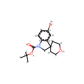 CC(C)(C)OC(=O)N1CC2(CCOCC2)c2cc(Br)ccc21